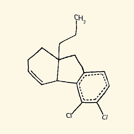 CCCC12CCC=CC1c1c(ccc(Cl)c1Cl)C2